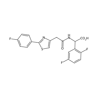 O=C(Cc1csc(-c2ccc(F)cc2)n1)NC(C(=O)O)c1cc(F)ccc1F